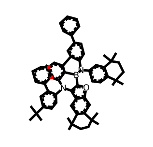 Cc1cc2c3c(c1)N(c1ccc(C(C)(C)C)cc1-c1ccccc1)c1c(oc4cc5c(cc14)C(C)(C)CCC5(C)C)B3N(c1ccc3c(c1)C(C)(C)CCC3(C)C)c1ccc(-c3ccccc3)cc1-2